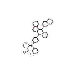 CC1(C)c2ccccc2N(c2ccc(-c3c4ccccc4c(-c4cc5ccccc5cc4-c4ccccc4)c4ccccc34)cc2)C2C=CC=CC21